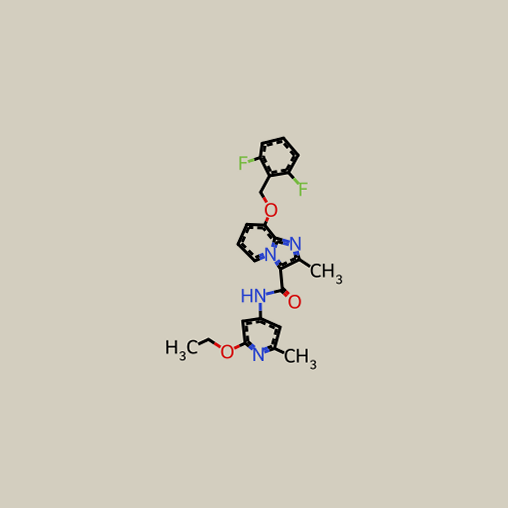 CCOc1cc(NC(=O)c2c(C)nc3c(OCc4c(F)cccc4F)cccn23)cc(C)n1